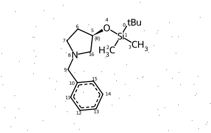 CC(C)(C)[Si](C)(C)O[C@@H]1CCN(Cc2ccccc2)C1